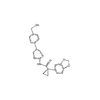 O=C(Nc1ccc(-c2ccc(CO)cc2)cn1)C1(c2ccc3c(c2)OCO3)CC1